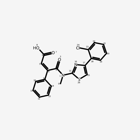 CN(C(=O)/C(=C\C(=O)O)c1ccccc1)c1nc(-c2ccccc2Cl)cs1